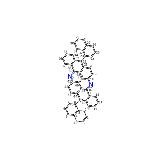 C1=CCc2c(cccc2-c2c3ccccc3c3nc4ccc5c(-c6cccc7ccccc67)c6ccccc6c6nc7ccc2c3c7c4c56)C1